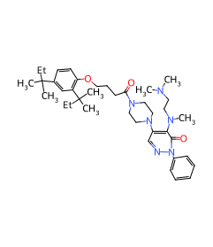 CCC(C)(C)c1ccc(OCCCC(=O)N2CCN(c3cnn(-c4ccccc4)c(=O)c3N(C)CCN(C)C)CC2)c(C(C)(C)CC)c1